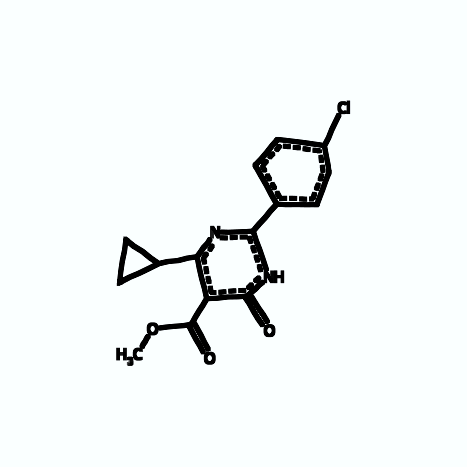 COC(=O)c1c(C2CC2)nc(-c2ccc(Cl)cc2)[nH]c1=O